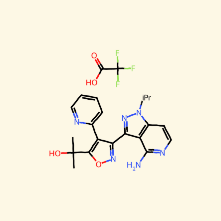 CC(C)n1nc(-c2noc(C(C)(C)O)c2-c2ccccn2)c2c(N)nccc21.O=C(O)C(F)(F)F